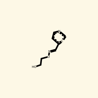 OCCO/N=C/c1ccncc1